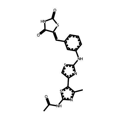 CC(=O)Nc1nc(C)c(-c2csc(Nc3cccc(/C=C4\SC(=O)NC4=O)c3)n2)s1